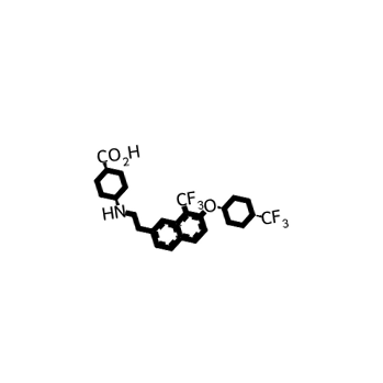 O=C(O)[C@H]1CC[C@@H](NCCc2ccc3ccc(O[C@H]4CC[C@@H](C(F)(F)F)CC4)c(C(F)(F)F)c3c2)CC1